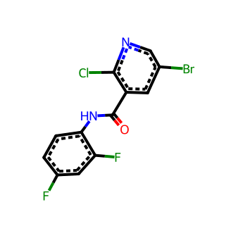 O=C(Nc1ccc(F)cc1F)c1cc(Br)cnc1Cl